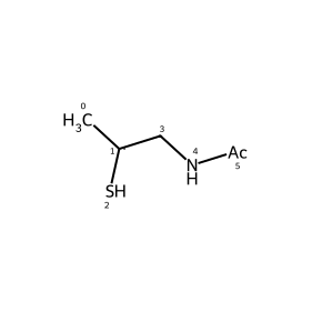 C[C](S)CNC(C)=O